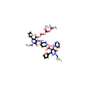 CCn1nc(-c2cccs2)c(C(=O)O)c(Nc2cccnc2)c1=O.CCn1nc(-c2cccs2)c(C(=O)OCOC(=O)OC(C)C)c(Nc2cccnc2)c1=O